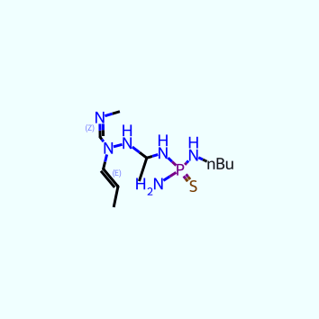 C/C=C/N(/C=N\C)NC(C)NP(N)(=S)NCCCC